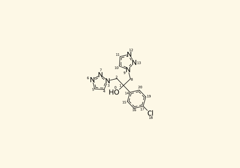 OC(Cn1ccnn1)(Cn1ccnn1)c1ccc(Cl)cc1